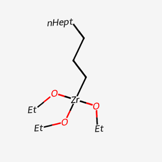 CCCCCCCCC[CH2][Zr]([O]CC)([O]CC)[O]CC